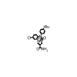 CC(C)(C)c1ccc(N(c2ccc(Cl)cc2-n2cc(C(N)=O)cn2)[SH](=O)=O)cc1